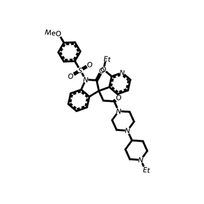 CCOc1ncccc1C1(CC(=O)N2CCN(C3CCN(CC)CC3)CC2)C(=O)N(S(=O)(=O)c2ccc(OC)cc2)c2ccccc21